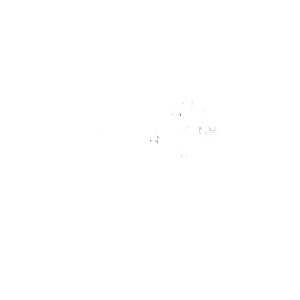 COC(=N)c1cccc(-c2cccc3ccccc23)n1